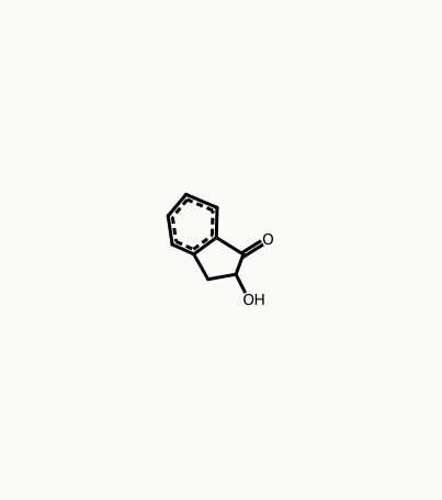 O=C1c2ccccc2CC1O